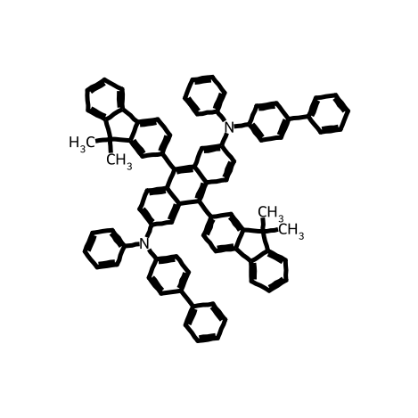 CC1(C)c2ccccc2-c2ccc(-c3c4ccc(N(c5ccccc5)c5ccc(-c6ccccc6)cc5)cc4c(-c4ccc5c(c4)C(C)(C)c4ccccc4-5)c4ccc(N(c5ccccc5)c5ccc(-c6ccccc6)cc5)cc34)cc21